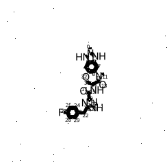 CN1Nc2cc3c(cc2N1)N(C)C(=O)[C@@H](NC(=O)c1n[nH]c(Cc2ccc(F)cc2)n1)CO3